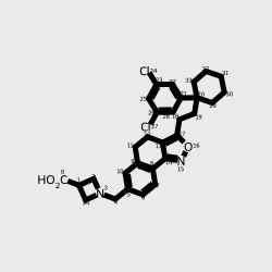 O=C(O)C1CN(Cc2ccc3c(c2)CCc2c-3noc2CCC2(c3cc(Cl)cc(Cl)c3)CCCCC2)C1